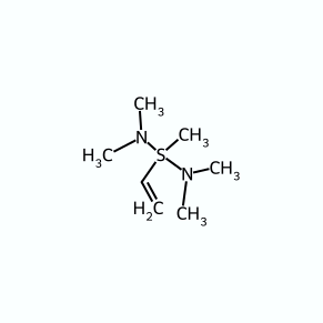 C=CS(C)(N(C)C)N(C)C